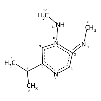 C/N=c1/cnc(C(C)C)cn1NC